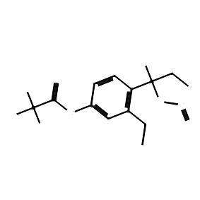 CCc1cc(NC(=O)C(F)(F)F)ccc1C(Br)(CC)O[PH2]=O